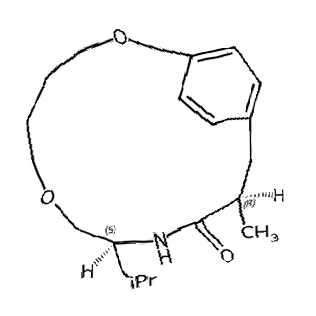 CC(C)[C@H]1COCCCCOc2ccc(cc2)C[C@@H](C)C(=O)N1